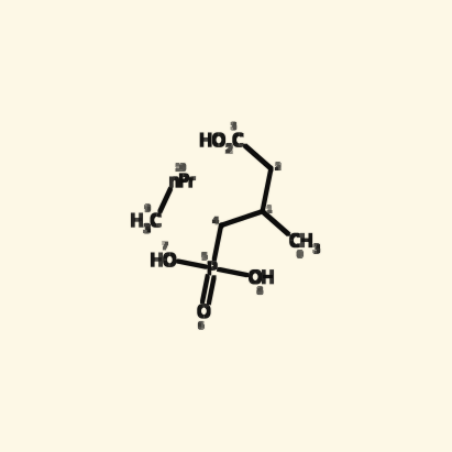 CC(CC(=O)O)CP(=O)(O)O.CCCC